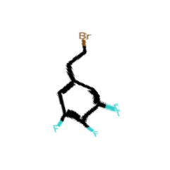 Fc1cc(CCBr)cc(F)c1F